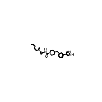 C=C(/C=C\C=C/C)[C@@H]1CC1NC(=O)N1CCC(Cc2cccc(-c3cn[nH]c3)c2)CC1